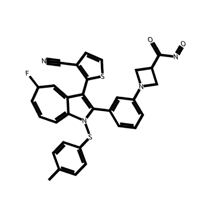 Cc1ccc(Sn2c(-c3cccc(N4CC(C(=O)N=O)C4)c3)c(-c3sccc3C#N)c3c2=CC=CC(F)C=3)cc1